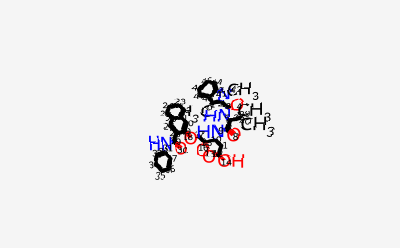 Cc1c(C(=O)N[C@H](C(=O)NC(CC(=O)O)C(=O)COc2cc3ccccc3cc2C(=O)Nc2ccccc2)C(C)C)n(C)c2ccccc12